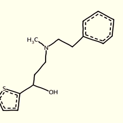 CN(CCc1ccccc1)CCC(O)c1cccs1